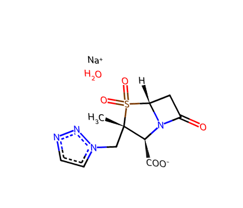 C[C@]1(Cn2ccnn2)[C@H](C(=O)[O-])N2C(=O)C[C@H]2S1(=O)=O.O.[Na+]